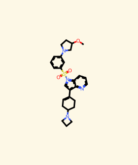 COC1CCN(c2cccc(S(=O)(=O)n3cc(C4=CCC(N5CCC5)CC4)c4ncccc43)c2)C1